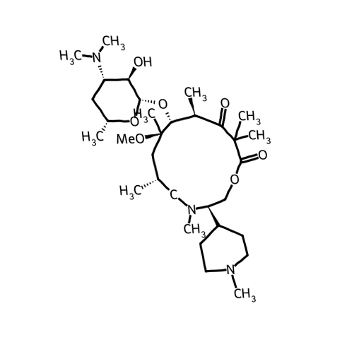 CO[C@]1(C)C[C@@H](C)CN(C)[C@H](C2CCN(C)CC2)COC(=O)C(C)(C)C(=O)[C@H](C)[C@H]1O[C@@H]1O[C@H](C)C[C@H](N(C)C)[C@H]1O